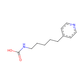 O=C(O)NCCCCCc1ccncc1